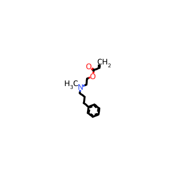 C=CC(=O)OCCN(C)CCCc1ccccc1